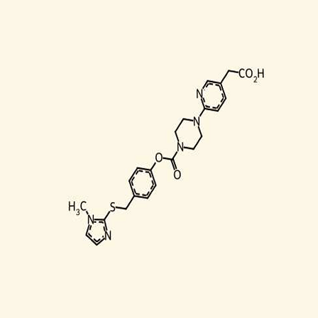 Cn1ccnc1SCc1ccc(OC(=O)N2CCN(c3ccc(CC(=O)O)cn3)CC2)cc1